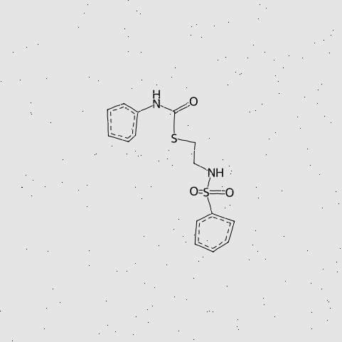 O=C(Nc1ccccc1)SCCNS(=O)(=O)c1ccccc1